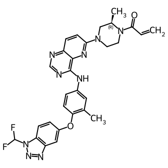 C=CC(=O)N1CCN(c2ccc3ncnc(Nc4ccc(Oc5ccc6c(c5)nnn6C(F)F)c(C)c4)c3n2)C[C@H]1C